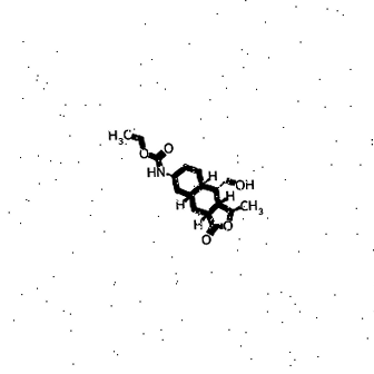 CCOC(=O)N[C@@H]1CC[C@@H]2[C@@H](C1)C[C@H]1C(=O)O[C@H](C)[C@H]1[C@H]2CO